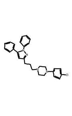 Clc1ccc(N2CCN(CCCc3cc(-c4ccccc4)n(-c4ccccc4)n3)CC2)cc1